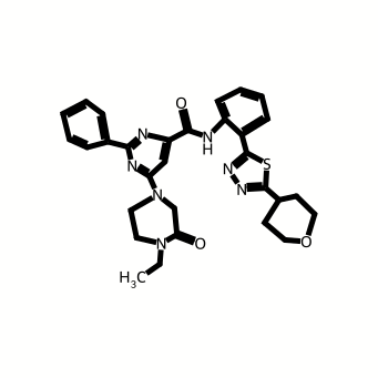 CCN1CCN(c2cc(C(=O)Nc3ccccc3-c3nnc(C4CCOCC4)s3)nc(-c3ccccc3)n2)CC1=O